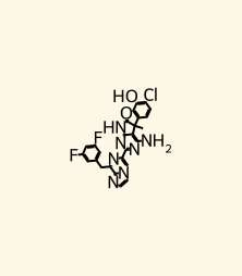 CC1(c2ccc(Cl)c(O)c2)C(=O)Nc2nc(-c3cn4ccnc4c(Cc4cc(F)cc(F)c4)n3)nc(N)c21